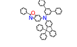 c1ccc(-c2cc(-c3ccccc3)cc(N(c3ccc4c(c3)C(c3ccccc3)(c3ccccc3)c3ccccc3-4)c3ccc4nc(-c5ccccc5)oc4c3)c2)cc1